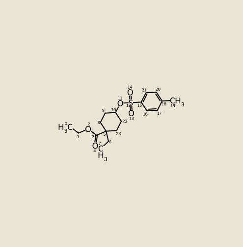 CCOC(=O)C1(CC)CCC(OS(=O)(=O)c2ccc(C)cc2)CC1